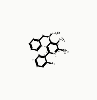 CCOC(=O)N(Cc1ccccc1)c1cc(-c2ccccc2F)nc(N)c1[N+](=O)[O-]